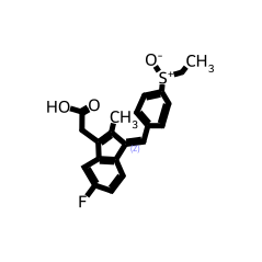 CC[S+]([O-])c1ccc(/C=C2\C(C)=C(CC(=O)O)c3cc(F)ccc32)cc1